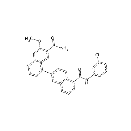 COc1cc2nccc(-c3ccc4c(C(=O)Nc5cccc(Cl)c5)cccc4c3)c2cc1C(N)=O